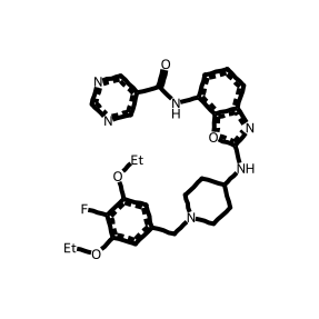 CCOc1cc(CN2CCC(Nc3nc4cccc(NC(=O)c5cncnc5)c4o3)CC2)cc(OCC)c1F